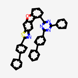 c1ccc(-c2ccc(-c3nc(-c4ccccc4)nc(-c4cccc5oc6cc7sc(-c8ccc(-c9ccccc9)cc8)nc7cc6c45)n3)cc2)cc1